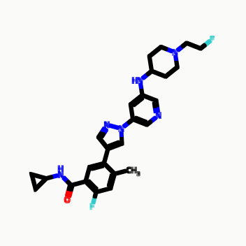 Cc1cc(F)c(C(=O)NC2CC2)cc1-c1cnn(-c2cncc(NC3CCN(CCF)CC3)c2)c1